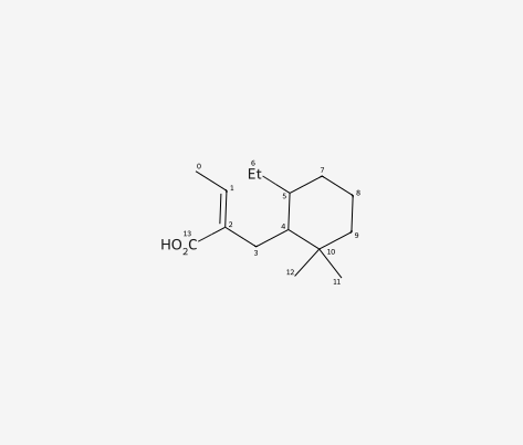 CC=C(CC1C(CC)CCCC1(C)C)C(=O)O